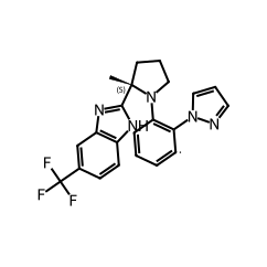 C[C@@]1(c2nc3cc(C(F)(F)F)ccc3[nH]2)CCCN1c1ccc[c]c1-n1cccn1